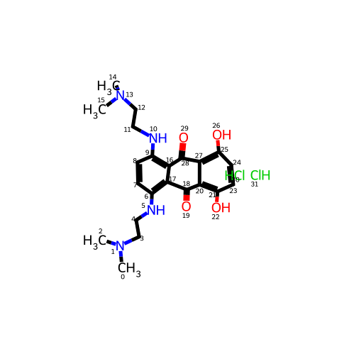 CN(C)CCNc1ccc(NCCN(C)C)c2c1C(=O)c1c(O)ccc(O)c1C2=O.Cl.Cl